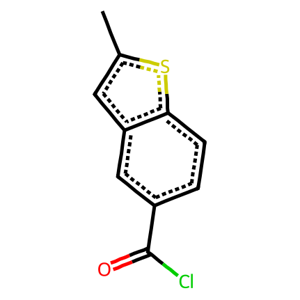 Cc1cc2cc(C(=O)Cl)ccc2s1